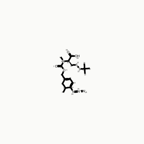 CC1CC(COC(=O)N(C)[C@H](CSSC(C)(C)C)C(=O)O)=CC=C1N=[N+]=[N-]